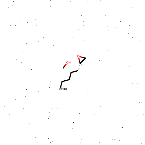 CCCCCCCCC[C@H]1CO1.CO